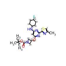 Cc1csc(-c2nc(NC3CCC(F)CC3)cc(OC3CN(C(=O)OC(C)(C)C)C3)n2)n1